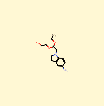 CCOC(CN1CCc2cc(N)ccc21)OCCO